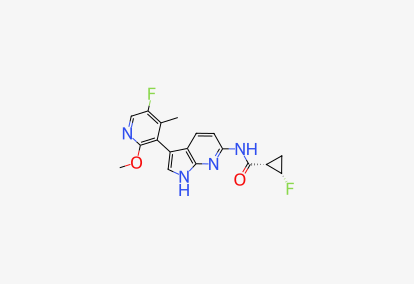 COc1ncc(F)c(C)c1-c1c[nH]c2nc(NC(=O)[C@@H]3C[C@@H]3F)ccc12